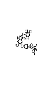 CCOP(=O)(CC(=O)N1CCC(Oc2cc3c(Nc4ccc(Cl)c(Cl)c4F)ncnc3cc2OC)CC1)OCC